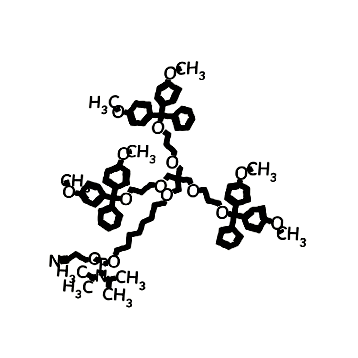 COc1ccc(C(OCCCOCC(COCCCCCCCCOP(OCCC#N)N(C(C)C)C(C)C)(COCCCOC(c2ccccc2)(c2ccc(OC)cc2)c2ccc(OC)cc2)COCCCOC(c2ccccc2)(c2ccc(OC)cc2)c2ccc(OC)cc2)(c2ccccc2)c2ccc(OC)cc2)cc1